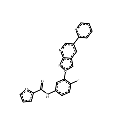 O=C(Nc1ccc(F)c(-n2cc3cc(-c4ccccn4)cnc3n2)c1)c1ccco1